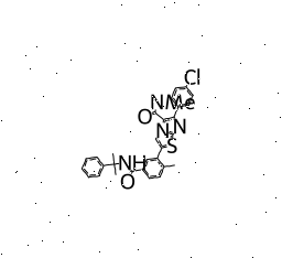 CNC(=O)c1c(-c2ccc(Cl)cc2)nc2sc(-c3cc(C(=O)NC(C)(C)c4ccccc4)ccc3C)cn12